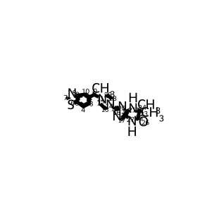 CC(c1ccc2scnc2c1)N1CCN(c2ncc3c(n2)NC(C)(C)C(=O)N3)CC1